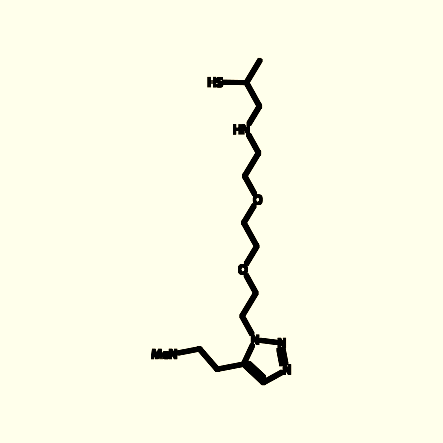 CNCCc1cnnn1CCOCCOCCNCC(C)S